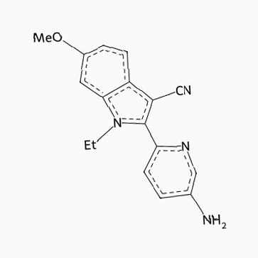 CCn1c(-c2ccc(N)cn2)c(C#N)c2ccc(OC)cc21